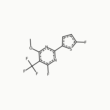 COc1nc(-c2ccc(F)s2)nc(F)c1C(F)(F)F